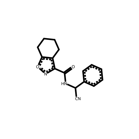 N#CC(NC(=O)c1noc2c1CCCC2)c1ccccc1